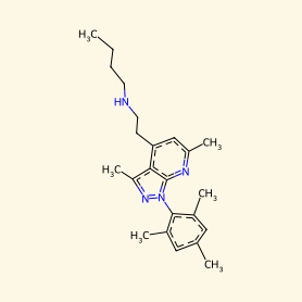 CCCCNCCc1cc(C)nc2c1c(C)nn2-c1c(C)cc(C)cc1C